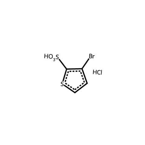 Cl.O=S(=O)(O)c1sccc1Br